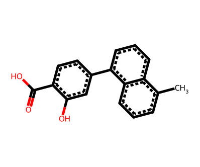 Cc1cccc2c(-c3ccc(C(=O)O)c(O)c3)cccc12